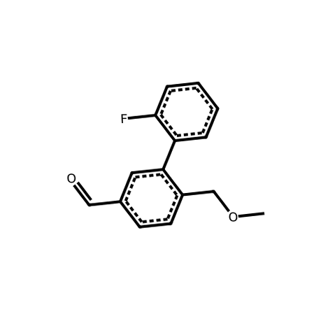 COCc1ccc(C=O)cc1-c1ccccc1F